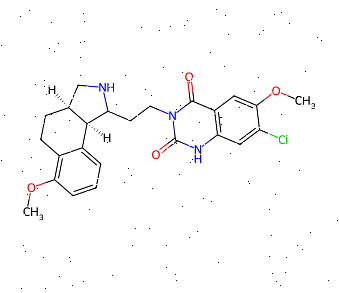 COc1cc2c(=O)n(CCC3NC[C@@H]4CCc5c(OC)cccc5[C@H]34)c(=O)[nH]c2cc1Cl